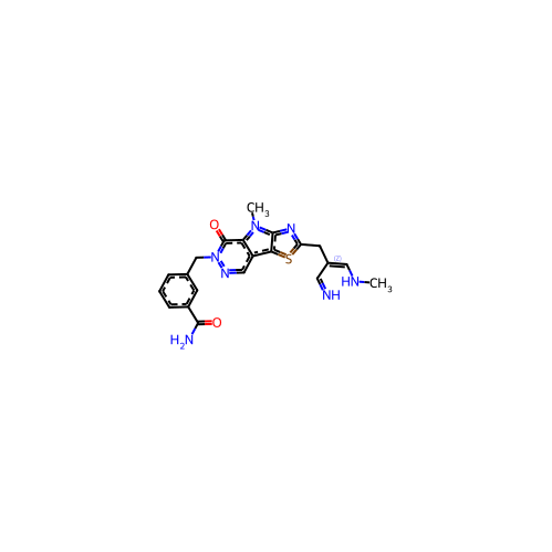 CN/C=C(\C=N)Cc1nc2c(s1)c1cnn(Cc3cccc(C(N)=O)c3)c(=O)c1n2C